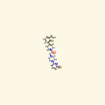 O=C(CN1CCN(c2cccc(Br)n2)CC1)N1CC=C(c2cccc3ccsc23)CC1